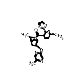 Cc1cnc(OC2CC3CC2N(C(=O)c2ccc(C)nc2-n2nccn2)C3C)cn1